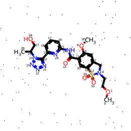 COCCN1Cc2cc(OC)c(C(=O)Nc3cccc(-c4nnnn4C(C)CO)n3)cc2S1(=O)=O